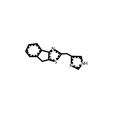 c1ccc2c(c1)Cc1sc(Cc3c[nH]cn3)nc1-2